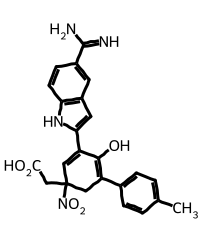 Cc1ccc(C2=C(O)C(c3cc4cc(C(=N)N)ccc4[nH]3)=CC(CC(=O)O)([N+](=O)[O-])C2)cc1